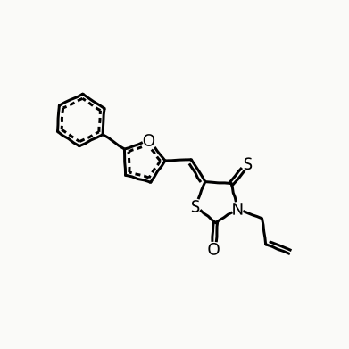 C=CCN1C(=O)S/C(=C\c2ccc(-c3ccccc3)o2)C1=S